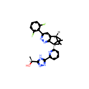 C[C@H](O)c1nnc(-c2cccc([C@]34CC[C@@H](c5cc(-c6c(F)cccc6F)nnc53)C4(C)C)n2)[nH]1